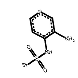 CC(C)S(=O)(=O)Nc1ccncc1N